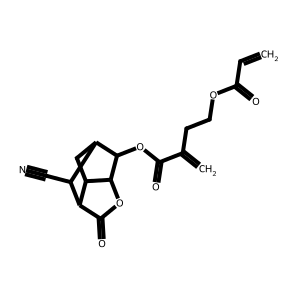 C=CC(=O)OCCC(=C)C(=O)OC1C2CC3C1OC(=O)C3C2C#N